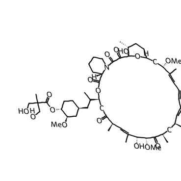 CO[C@H]1C[C@@H]2CC[C@@H](C)[C@@](O)(O2)C(=O)C(=O)N2CCCC[C@H]2C(=O)O[C@H](C(C)C[C@@H]2CC[C@@H](OC(=O)C(C)(CO)CO)[C@H](OC)C2)CC(=O)[C@H](C)/C=C(\C)[C@@H](O)[C@@H](OC)C(=O)[C@H](C)C[C@H](C)/C=C/C=C/C=C/1C